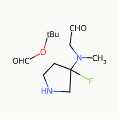 CC(C)(C)OC=O.CN(CC=O)C1(F)CCNC1